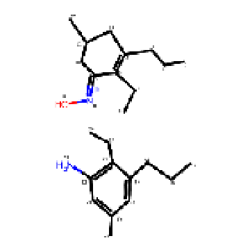 CCCC1=C(CC)/C(=N/O)CC(C)C1.CCCc1cc(C)cc(N)c1CC